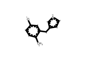 Cc1ccc(Cl)cc1Cc1[c]scc1